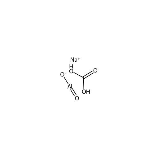 O=C(O)O.[Na+].[O]=[Al][O-]